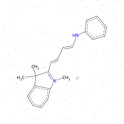 C[N+]1=C(C=CC=CNc2ccccc2)C(C)(C)c2ccccc21.[I-]